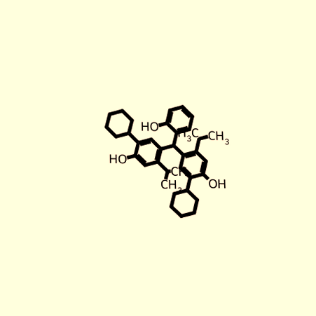 CC(C)c1cc(O)c(C2CCCCC2)cc1C(c1ccccc1O)c1cc(C2CCCCC2)c(O)cc1C(C)C